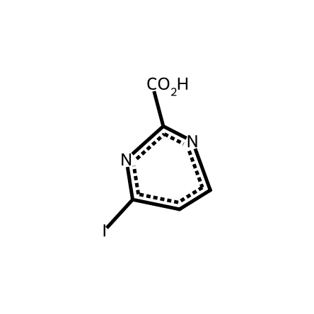 O=C(O)c1nccc(I)n1